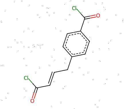 O=C(Cl)C=CCc1ccc(C(=O)Cl)cc1